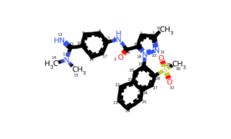 Cc1cc(C(=O)Nc2ccc(C(=N)N(C)C)cc2)n(-c2cc3ccccc3cc2S(C)(=O)=O)n1